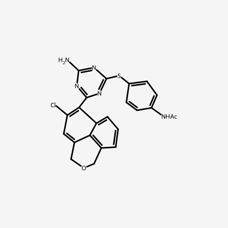 CC(=O)Nc1ccc(Sc2nc(N)nc(-c3c(Cl)cc4c5c(cccc35)COC4)n2)cc1